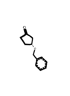 O=C1CC[C@@H](OCc2ccccc2)C1